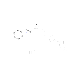 CC/C(=C\c1ccccc1)C1CC1NCC1CC(NCC(C)(C)C(=O)O)C1.Cl.Cl